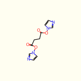 O=C(CCC(=O)On1ccnc1)On1ccnc1